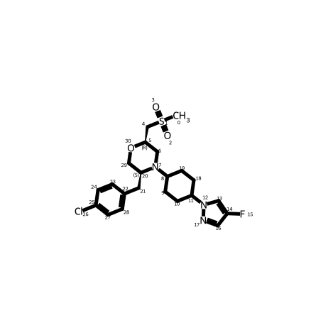 CS(=O)(=O)C[C@H]1CN(C2CCC(n3cc(F)cn3)CC2)[C@@H](Cc2ccc(Cl)cc2)CO1